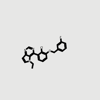 CCn1ccc2ncnc(-c3cccc(OCc4cccc(F)c4)c3Cl)c21